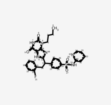 CCCCn1c(=O)[nH]c(=O)c2[nH]c(C(Cc3ccccc3F)c3ccc(S(=O)(=O)Nc4ccccn4)cc3)nc21